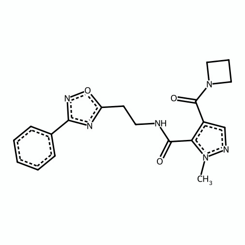 Cn1ncc(C(=O)N2CCC2)c1C(=O)NCCc1nc(-c2ccccc2)no1